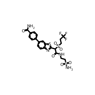 NC(=O)c1ccc(-c2ccc3nc(C(C(=O)NCCS(N)(=O)=O)S(=O)(=O)CCC(F)(F)F)sc3c2)cc1